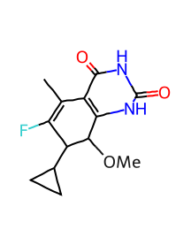 COC1c2[nH]c(=O)[nH]c(=O)c2C(C)=C(F)C1C1CC1